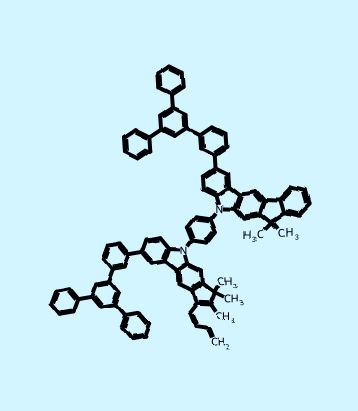 C=C/C=C\C1=C(C)C(C)(C)c2cc3c(cc21)c1cc(-c2cccc(-c4cc(-c5ccccc5)cc(-c5ccccc5)c4)c2)ccc1n3-c1ccc(-n2c3ccc(-c4cccc(-c5cc(-c6ccccc6)cc(-c6ccccc6)c5)c4)cc3c3cc4c(cc32)C(C)(C)c2ccccc2-4)cc1